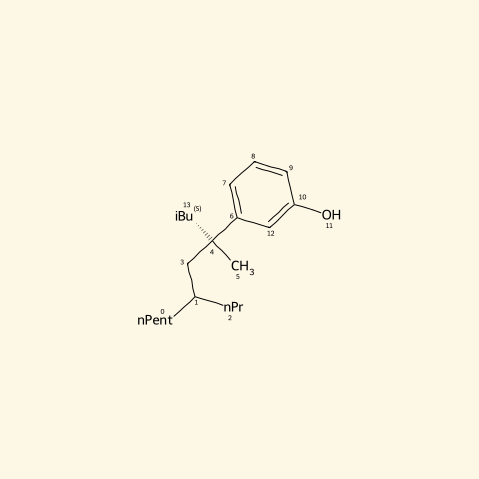 CCCCCC(CCC)CC(C)(c1cccc(O)c1)[C@@H](C)CC